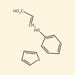 C=CC(=O)O.Oc1ccccc1.c1ccsc1